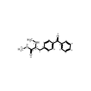 CN[C@@H](Cc1ccc(C(=O)c2ccccc2)cc1)C(=O)OC